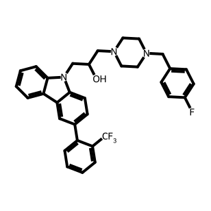 OC(CN1CCN(Cc2ccc(F)cc2)CC1)Cn1c2ccccc2c2cc(-c3ccccc3C(F)(F)F)ccc21